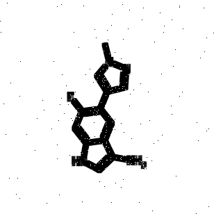 Cn1cc(-c2cc3c(N)c[nH]c3cc2F)cn1